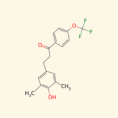 Cc1cc(CCC(=O)c2ccc(OC(F)(F)F)cc2)cc(C)c1O